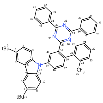 CC(C)(C)c1ccc2c(c1)c1cc(C(C)(C)C)ccc1n2-c1ccc(-c2ccccc2C(F)(F)F)c(-c2nc(-c3ccccc3)nc(-c3ccccc3)n2)c1